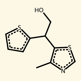 Cc1ncsc1C(CO)c1cccs1